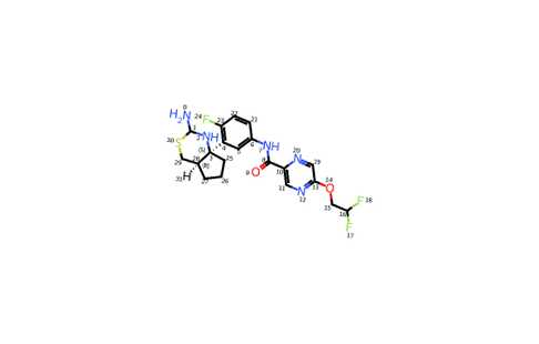 NC1N[C@@]2(c3cc(NC(=O)c4cnc(OCC(F)F)cn4)ccc3F)CCC[C@H]2CS1